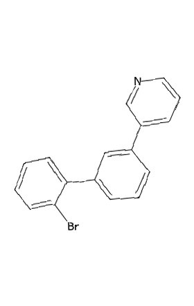 Brc1ccccc1-c1cccc(-c2cccnc2)c1